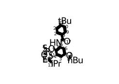 CCCCOc1ccc(OP(=S)(OCC)SCC(C)C)c(NC(=O)c2ccc(C(C)(C)C)cc2)c1